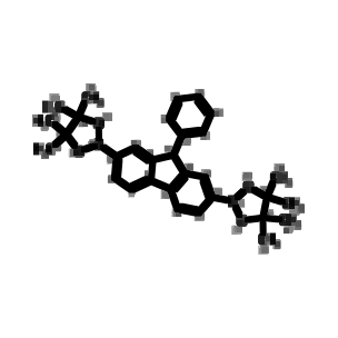 CC1(C)OB(c2ccc3c(c2)C(c2ccccc2)c2cc(B4OC(C)(C)C(C)(C)O4)ccc2-3)OC1(C)C